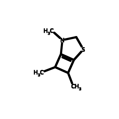 CC1C2=C(C1C)N(C)CS2